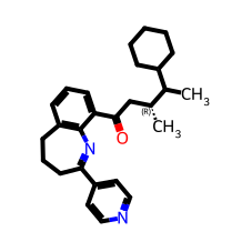 CC(C1CCCCC1)[C@H](C)CC(=O)c1cccc2c1N=C(c1ccncc1)CCC2